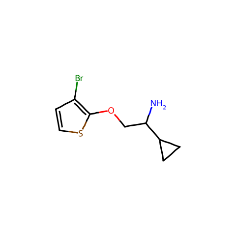 NC(COc1sccc1Br)C1CC1